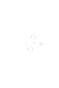 CCOC(=O)OC(/C(=C/CN(C)C)c1ccccc1)c1cccc(F)c1